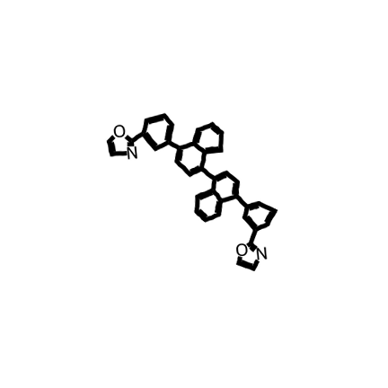 c1cc(-c2ncco2)cc(-c2ccc(-c3ccc(-c4cccc(-c5ncco5)c4)c4ccccc34)c3ccccc23)c1